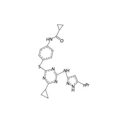 CCCc1cc(Nc2nc(Sc3ccc(NC(=O)C4CC4)cc3)nc(C3CC3)n2)n[nH]1